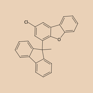 CC1(c2cc(Cl)cc3c2oc2ccccc23)c2ccccc2-c2ccccc21